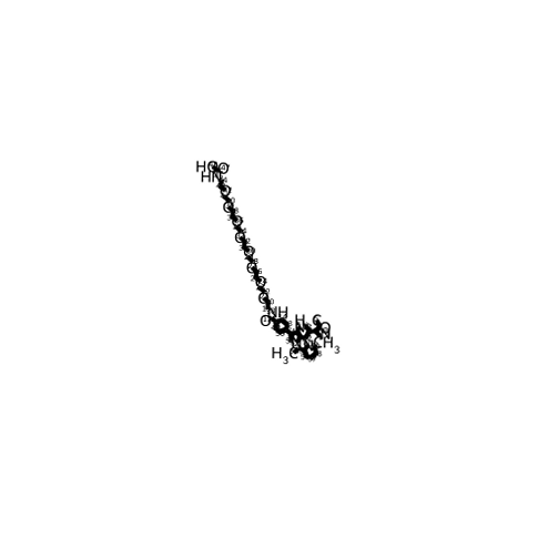 Cc1noc(C)c1-c1cnc2c(-c3ccc(C(=O)NCCOCCOCCOCCOCCOCCOCCOCCOCCNC(=O)O)cc3)cn(C(C)c3ccccn3)c2c1